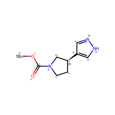 CC(C)(C)OC(=O)N1CC[C@H](c2cn[nH]c2)C1